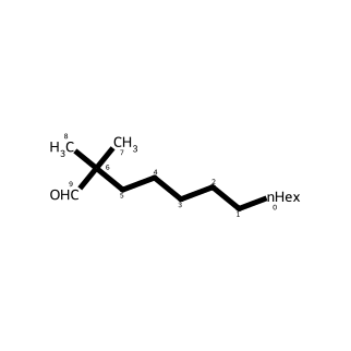 CCCCCCCCCCCC(C)(C)C=O